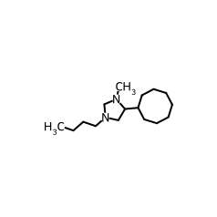 CCCCN1CC(C2CCCCCCC2)N(C)C1